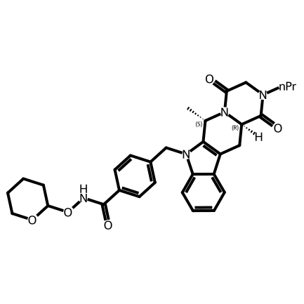 CCCN1CC(=O)N2[C@H](Cc3c(n(Cc4ccc(C(=O)NOC5CCCCO5)cc4)c4ccccc34)[C@@H]2C)C1=O